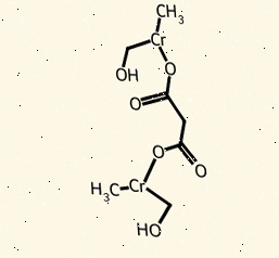 [CH3][Cr]([CH2]O)[O]C(=O)CC(=O)[O][Cr]([CH3])[CH2]O